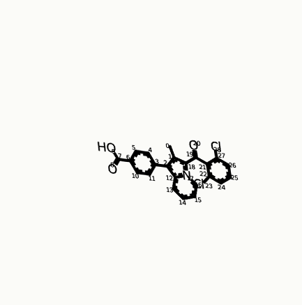 Cc1c(-c2ccc(C(=O)O)cc2)c2ccccn2c1C(=O)c1c(Cl)cccc1Cl